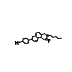 CCCCC[C@@H]1Cc2ccc3cc(-c4ccc(C#N)cc4)ccc3c2C[C@H]1F